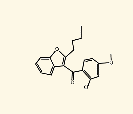 CCCCc1oc2ccccc2c1C(=O)c1ccc(OC)cc1Cl